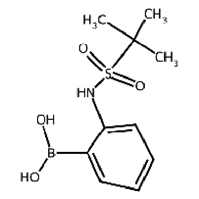 CC(C)(C)S(=O)(=O)Nc1ccccc1B(O)O